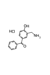 Cl.NCc1cc(C(=O)c2ccccc2)ccc1O